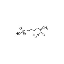 C=C(CCCCCS(=O)(=O)O)C(N)=O